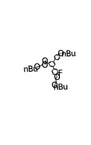 CCCCOCCOC(=O)c1cc(-c2ccc(OCCCC)cc2)cc(-c2ccc(OCCOCCCC)c(F)c2)c1